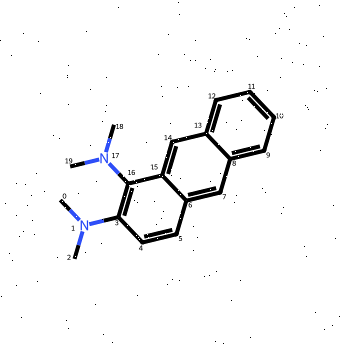 CN(C)c1ccc2cc3ccccc3cc2c1N(C)C